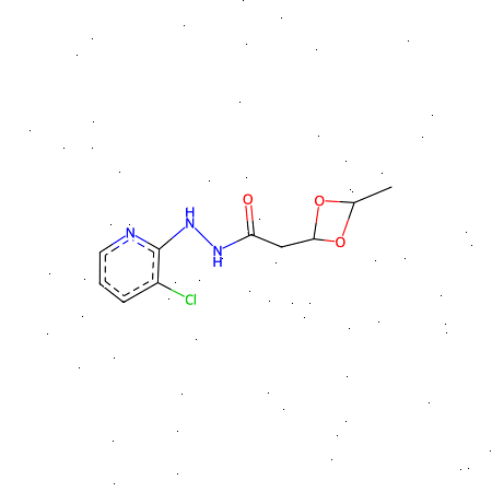 CC1OC(CC(=O)NNc2ncccc2Cl)O1